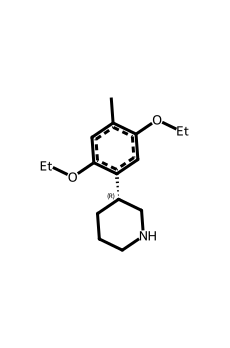 CCOc1cc([C@H]2CCCNC2)c(OCC)cc1C